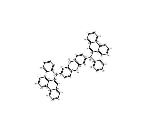 c1ccc(N(c2ccc3c(c2)Oc2ccc(N(c4ccccc4)c4cc5ccccc5c5ccccc45)cc2O3)c2cc3ccccc3c3ccccc23)cc1